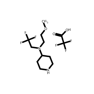 COCCN(CC(F)(F)F)C1CCNCC1.O=C(O)C(F)(F)F